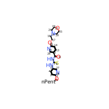 CCCCCOc1ccc(NC(=S)NC(=O)c2ccc(OCCN3CCOCC3)nc2)cn1